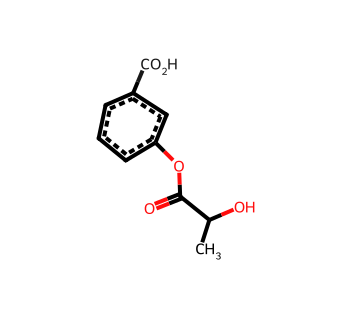 CC(O)C(=O)Oc1cccc(C(=O)O)c1